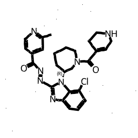 Cc1cc(C(=O)N=Nc2nc3cccc(Cl)c3n2[C@@H]2CCCCN(C(=O)C3=CCNCC3)C2)ccn1